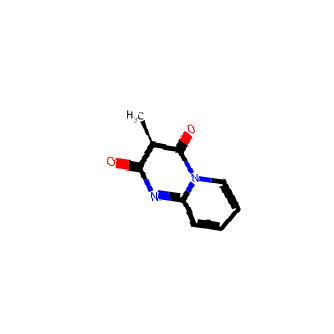 C[C@@H]1C(=O)N=C2C=CC=CN2C1=O